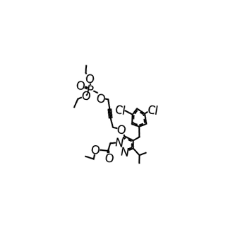 CCOC(=O)Cn1nc(C(C)C)c(Cc2cc(Cl)cc(Cl)c2)c1OCC#CCOCP(=O)(OCC)OCC